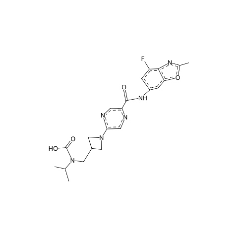 Cc1nc2c(F)cc(NC(=O)c3cnc(N4CC(CN(C(=O)O)C(C)C)C4)cn3)cc2o1